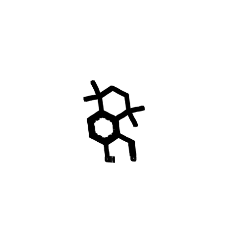 CC1(C)CCC(C)(C)c2c1ccc(O)c2C=O